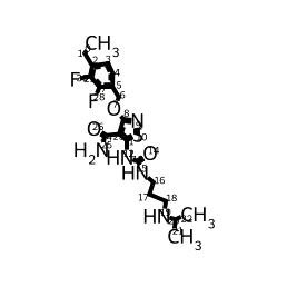 CCc1ccc(COc2nsc(NC(=O)NCCCNC(C)C)c2C(N)=O)c(F)c1F